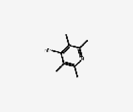 CCCc1c(C)c(C)nc(C)c1C